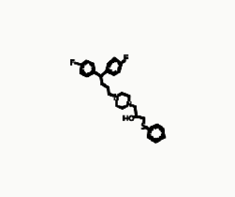 OC(CSc1ccccc1)CN1CCN(CCCC(c2ccc(F)cc2)c2ccc(F)cc2)CC1